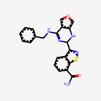 NC(=O)c1cccc2c(C3N=C(NCc4ccccc4)c4cocc4N3)nsc12